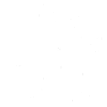 Cc1ccc(C(C)(C)C)cc1B1C2=C(Cc3cc4c(cc32)C(C)(C)CCC4(C)C)N(c2ccc3c(c2)C(C)(C)CCC3(C)C)c2cc(C(C)(C)C)cc(C)c21